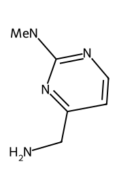 CNc1nccc(CN)n1